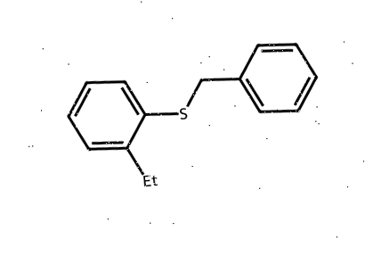 CCc1ccccc1SCc1ccccc1